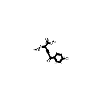 CO/N=C(\C#CC(=O)c1ccc(Cl)cc1)C(=O)OC